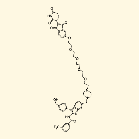 O=C1CCC(N2C(=O)c3ccc(OCCOCCOCCOCCOCCN4CCN(Cc5ccc6c(c5)nc(NC(=O)c5cccc(C(F)(F)F)c5)n6-c5ccc(CO)cc5)CC4)cc3C2=O)C(=O)N1